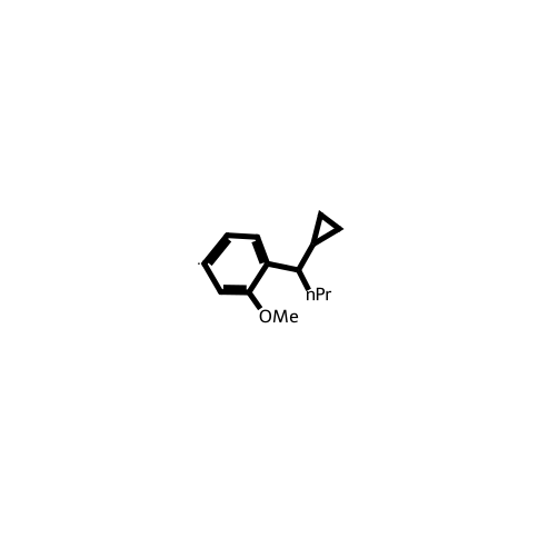 CCCC(c1cc[c]cc1OC)C1CC1